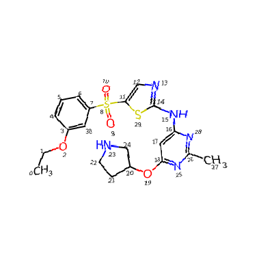 CCOc1cccc(S(=O)(=O)c2cnc(Nc3cc(OC4CCNC4)nc(C)n3)s2)c1